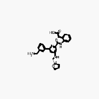 NCc1cccc(-c2cc(NC[C@@H]3CCCO3)cc(C(=O)Nc3ccccc3CC(=O)O)n2)c1